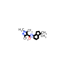 Cn1nc(C(F)(F)F)c(C(=O)Nc2cccc3c2CCC3(C)C)c1C(F)(F)F